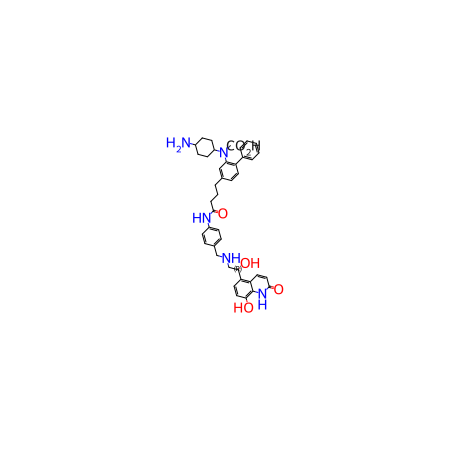 NC1CCC(N(C(=O)O)c2cc(CCCC(=O)Nc3ccc(CNC[C@H](O)c4ccc(O)c5[nH]c(=O)ccc45)cc3)ccc2-c2ccccc2)CC1